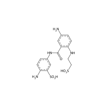 Nc1ccc(NCCS(=O)(=O)O)c(C(=O)Nc2ccc(N)c(S(=O)(=O)O)c2)c1